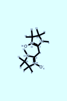 CN1C(CC2=[N+]([O-])C(C)(C)C(C)(C)N2C)=[N+]([O-])C(C)(C)C1(C)C